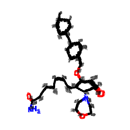 Cc1ccc(-c2ccc(CO[C@H]3CC(=O)[C@H](N4CCOCC4)[C@H]3C/C=C\CCCC(N)=O)cc2)cc1